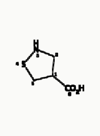 O=C(O)C1CNSC1